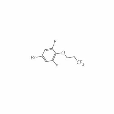 Fc1cc(Br)cc(F)c1OCCC(F)(F)F